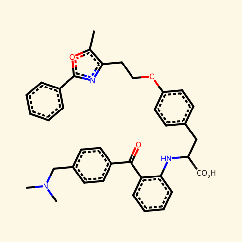 Cc1oc(-c2ccccc2)nc1CCOc1ccc(CC(Nc2ccccc2C(=O)c2ccc(CN(C)C)cc2)C(=O)O)cc1